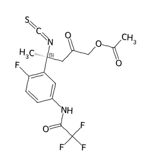 CC(=O)OCC(=O)C[C@](C)(N=C=S)c1cc(NC(=O)C(F)(F)F)ccc1F